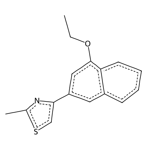 CCOc1cc(-c2csc(C)n2)cc2ccccc12